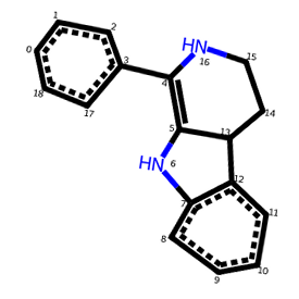 c1ccc(C2=C3Nc4ccccc4C3CCN2)cc1